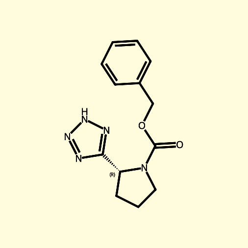 O=C(OCc1ccccc1)N1CCC[C@@H]1c1nn[nH]n1